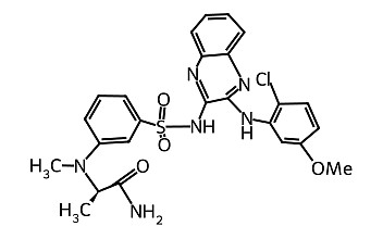 COc1ccc(Cl)c(Nc2nc3ccccc3nc2NS(=O)(=O)c2cccc(N(C)[C@H](C)C(N)=O)c2)c1